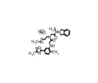 CCNCCN(CC(=O)N(C)N1Cc2ccccc2C1)C(=O)CNc1cc(-c2nc(C)no2)ccc1C.Cl.Cl